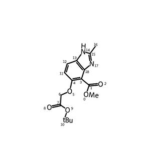 COC(=O)c1c(OCC(=O)OC(C)(C)C)ccc2[nH]c(C)nc12